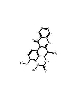 CCOc1ccc(-n2c(C(N)CNC(=O)OC(C)(C)C)nc3ccccc3c2=O)cc1